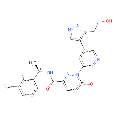 C[C@@H](NC(=O)c1ccc(=O)n(-c2cncc(-c3cnnn3CCO)c2)n1)c1cccc(C(F)(F)F)c1F